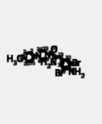 CN1CCC(N2CCN(C(=O)[C@H](N)Cc3cc(Br)c(N)c(Br)c3)CC2)CC1